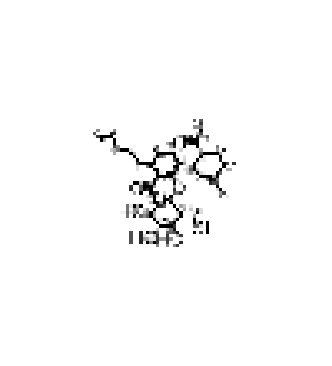 C=CCCCc1cc(O)c([C@@H]2C=C(C)CC[C@H]2C(=C)C)c(OC2O[C@H](O)[C@@H](O)[C@H](O)[C@H]2CO)c1C(=O)O